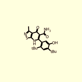 Cc1nsc2[nH]c(-c3cc(O)c(C(C)(C)C)cc3C(C)(C)C)c(C(N)=O)c(=O)c12